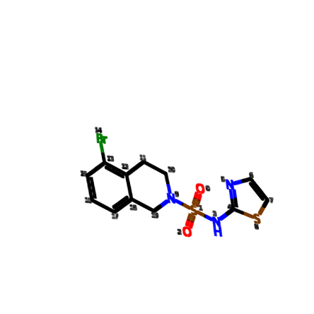 O=S(=O)(Nc1nccs1)N1CCc2c(Br)cccc2C1